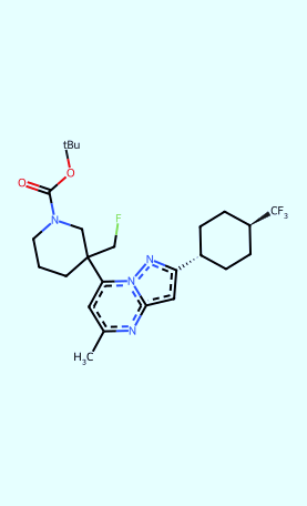 Cc1cc(C2(CF)CCCN(C(=O)OC(C)(C)C)C2)n2nc([C@H]3CC[C@H](C(F)(F)F)CC3)cc2n1